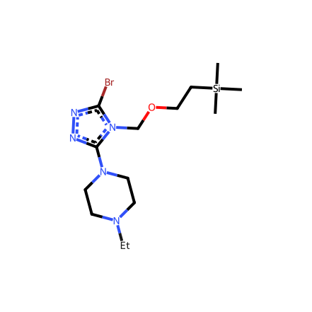 CCN1CCN(c2nnc(Br)n2COCC[Si](C)(C)C)CC1